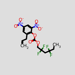 C=CCc1cc([N+](=O)[O-])cc([N+](=O)[O-])c1OC(=O)OCC(F)(F)CC(F)(F)CC